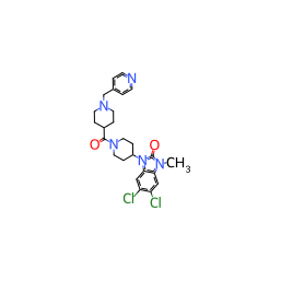 Cn1c(=O)n(C2CCN(C(=O)C3CCN(Cc4ccncc4)CC3)CC2)c2cc(Cl)c(Cl)cc21